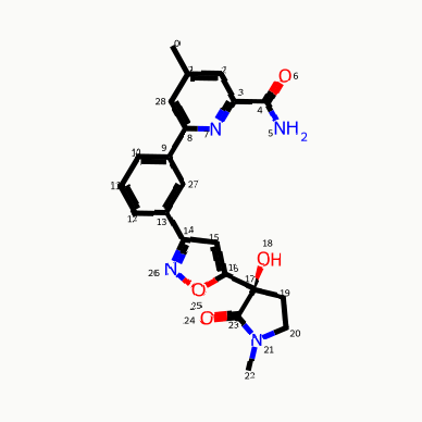 Cc1cc(C(N)=O)nc(-c2cccc(-c3cc([C@]4(O)CCN(C)C4=O)on3)c2)c1